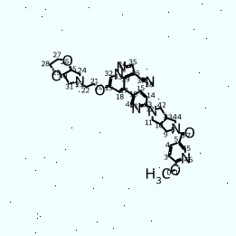 COc1ccc(C(=O)N2CC3CN(c4ccc(-c5cc(OCCN6CC7OCCOC7C6)cn6ncc(C#N)c56)cn4)CC3C2)cn1